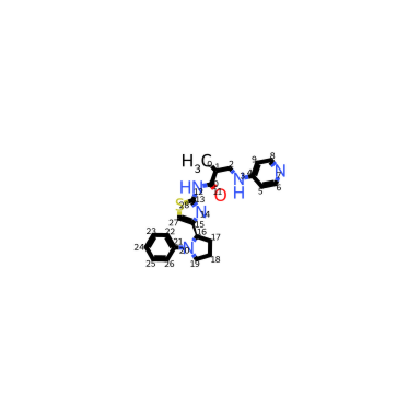 CC(CNc1ccncc1)C(=O)Nc1nc([C@H]2CCCN2c2ccccc2)cs1